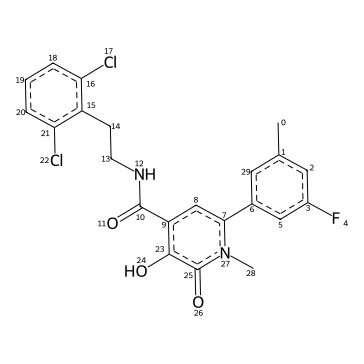 Cc1cc(F)cc(-c2cc(C(=O)NCCc3c(Cl)cccc3Cl)c(O)c(=O)n2C)c1